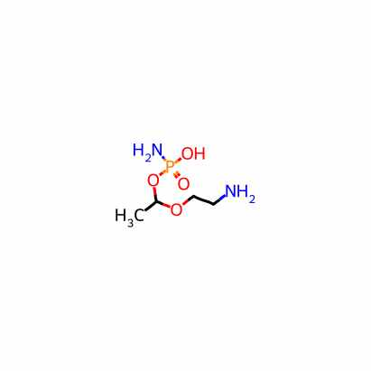 CC(OCCN)OP(N)(=O)O